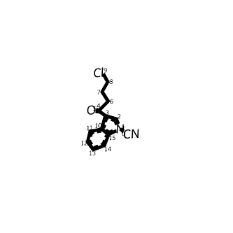 N#Cn1cc(C(=O)CCCCl)c2ccccc21